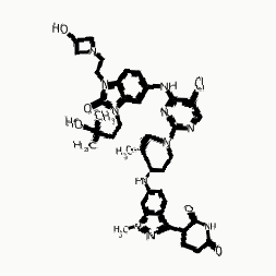 C[C@@H]1CN(c2ncc(Cl)c(Nc3ccc4c(c3)n(CCC(C)(C)O)c(=O)n4CCN3CC(O)C3)n2)CC[C@H]1Nc1ccc2c(C3CCC(=O)NC3=O)nn(C)c2c1